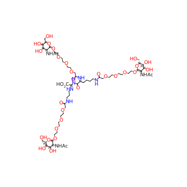 CC(=O)N[C@H]1[C@H](OCCOCCOCCOCC(=O)NCCCC[C@H](NC(=O)COCCOCCOCCO[C@@H]2O[C@H](CO)[C@H](O)[C@H](O)[C@H]2NC(C)=O)C(=O)N[C@@H](NCCCNC(=O)COCCOCCOCCO[C@@H]2O[C@H](CO)[C@H](O)[C@H](O)[C@H]2NC(C)=O)C(=O)O)O[C@H](CO)[C@H](O)[C@@H]1O